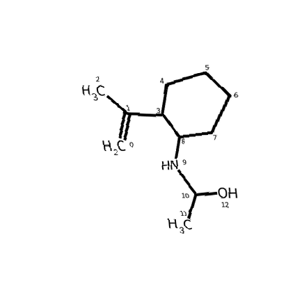 C=C(C)C1CCCCC1NC(C)O